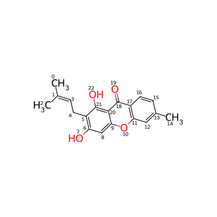 CC(C)=CCc1c(O)cc2oc3cc(C)ccc3c(=O)c2c1O